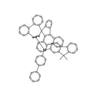 CC1(C)c2ccccc2-c2ccc(N(c3ccc(-c4ccccc4)cc3)c3ccc4c(c3)C3(c5ccccc5-c5ccccc5-4)c4ccccc4-c4c3c3ccccc3c3ccccc43)cc21